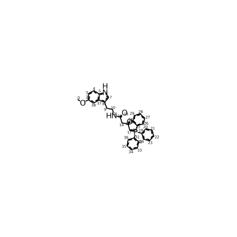 COc1ccc2[nH]cc(CCNC(=O)CC(=O)C=P(c3ccccc3)(c3ccccc3)c3ccccc3)c2c1